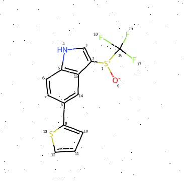 [O-][S+](c1c[nH]c2ccc(-c3cccs3)cc12)C(F)(F)F